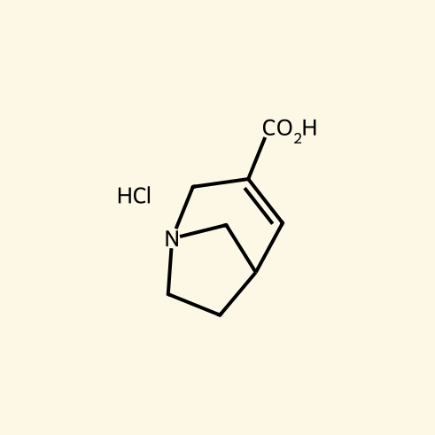 Cl.O=C(O)C1=CC2CCN(C1)C2